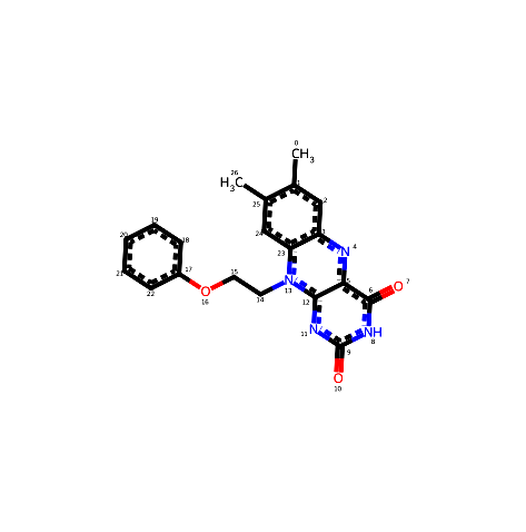 Cc1cc2nc3c(=O)[nH]c(=O)nc-3n(CCOc3ccccc3)c2cc1C